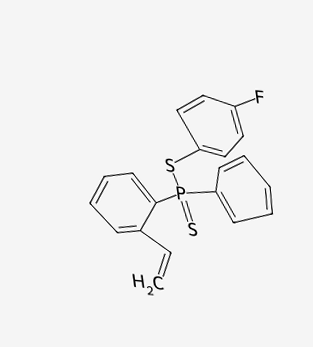 C=Cc1ccccc1P(=S)(Sc1ccc(F)cc1)c1ccccc1